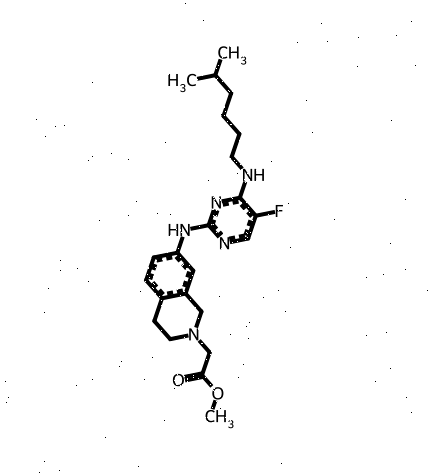 COC(=O)CN1CCc2ccc(Nc3ncc(F)c(NCCCCC(C)C)n3)cc2C1